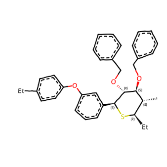 CCc1ccc(Oc2cccc([C@@H]3S[C@H](CC)[C@@H](C)[C@H](OCc4ccccc4)[C@H]3OCc3ccccc3)c2)cc1